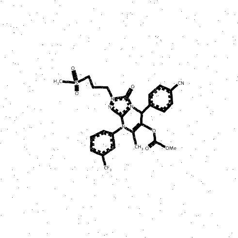 COC(=O)OC1=C(C)N(c2cccc(C(F)(F)F)c2)c2nn(CCCS(C)(=O)=O)c(=O)n2C1c1ccc(C#N)cc1